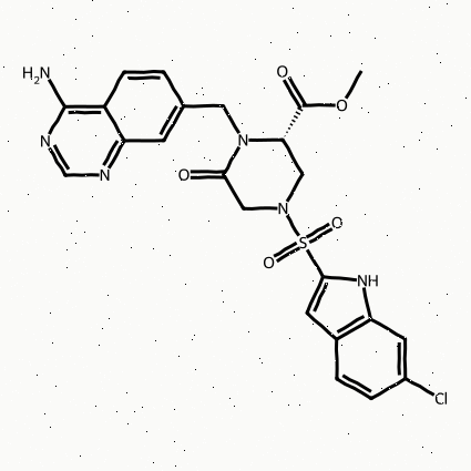 COC(=O)[C@@H]1CN(S(=O)(=O)c2cc3ccc(Cl)cc3[nH]2)CC(=O)N1Cc1ccc2c(N)ncnc2c1